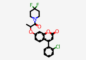 CC(Oc1ccc2c(-c3ccccc3Cl)cc(=O)oc2c1)C(=O)N1CCC(F)(F)CC1